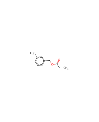 C[CH]C(=O)OCc1cccc(C)c1